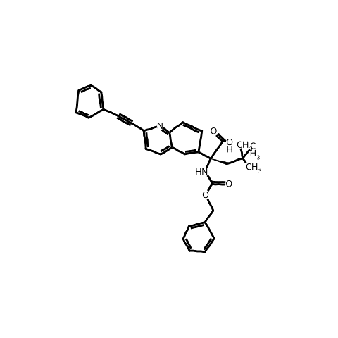 CC(C)(C)C[C@](NC(=O)OCc1ccccc1)(C(=O)O)c1ccc2nc(C#Cc3ccccc3)ccc2c1